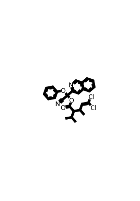 CC(C)C(C(=O)OC(C#N)(Oc1ccccc1)c1cc2ccccc2cn1)C(C)C=C(Cl)Cl